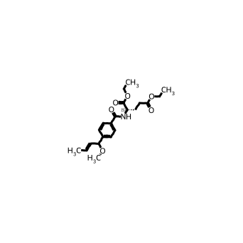 CC=CC(OC)c1ccc(C(=O)N[C@@H](CCC(=O)OCC)C(=O)OCC)cc1